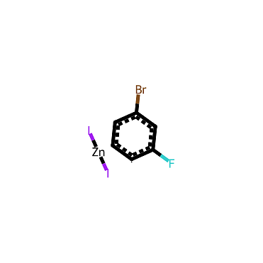 Fc1[c]ccc(Br)c1.[I][Zn][I]